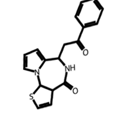 O=C(CC1NC(=O)C2C=CSC2n2cccc21)c1ccccc1